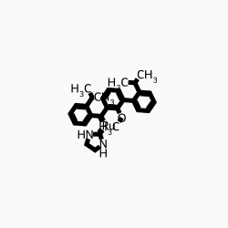 COc1c([C](=[Ru]=[C]2NCCN2)c2ccccc2C(C)C)cccc1-c1ccccc1C(C)C